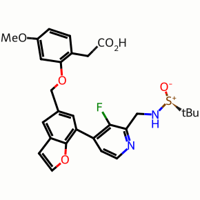 COc1ccc(CC(=O)O)c(OCc2cc(-c3ccnc(CN[S@@+]([O-])C(C)(C)C)c3F)c3occc3c2)c1